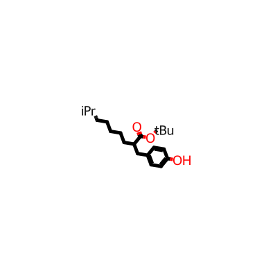 CC(C)CCCCCC(Cc1ccc(O)cc1)C(=O)OC(C)(C)C